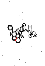 CCN(C(=O)c1c(CN2CCN(CCNC(=O)OC(C)(C)C)C(=O)C2)c(-c2ccccc2)nc2ccccc12)C1CCCCC1